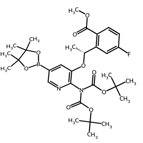 COC(=O)c1ccc(F)cc1[C@@H](C)Oc1cc(B2OC(C)(C)C(C)(C)O2)cnc1N(C(=O)OC(C)(C)C)C(=O)OC(C)(C)C